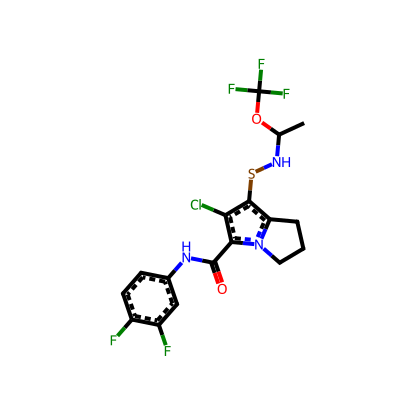 CC(NSc1c(Cl)c(C(=O)Nc2ccc(F)c(F)c2)n2c1CCC2)OC(F)(F)F